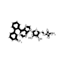 NS(=O)(=O)OC[C@H]1O[C@@H](n2cnc3c(-c4ccccc4-c4cccc(C(F)(F)F)c4)ncnc32)[C@H](O)[C@@H]1O